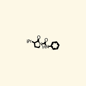 CC(C)C1CCN(C(=O)Nc2[c]cccc2)C1=O